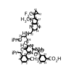 Cc1cccc(CC(C)C)c1-c1nc(NS(=O)(=O)c2cccc(C(=O)O)c2)nc(OC[C@@H](COC(C)C)NCc2cnc3cc(C4(C(F)(F)F)CC4)n(C)c3n2)c1C